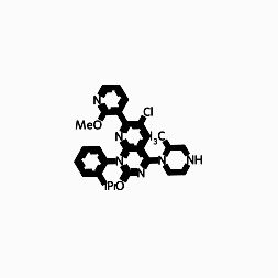 COc1ncccc1-c1nc2c(cc1Cl)c(N1CCNCC1C)nc(=O)n2-c1ccccc1C(C)C